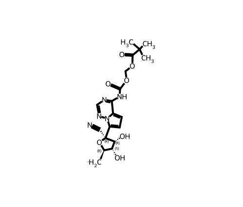 [CH2][C@H]1O[C@@](C#N)(c2ccc3c(NC(=O)OCOC(=O)C(C)(C)C)ncnn23)[C@H](O)[C@@H]1O